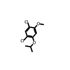 COc1cc(OC(C)C)c(Cl)cc1Cl